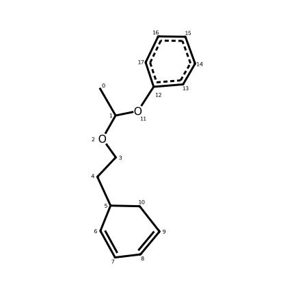 CC(OCCC1C=CC=CC1)Oc1ccccc1